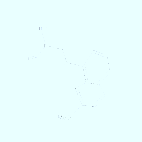 CCCN(CCC)CCc1cccc2ccc(OC)cc12